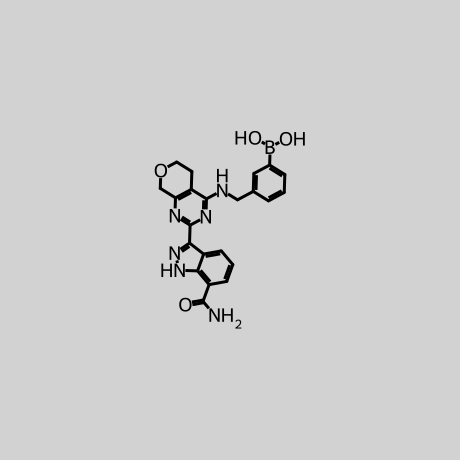 NC(=O)c1cccc2c(-c3nc4c(c(NCc5cccc(B(O)O)c5)n3)CCOC4)n[nH]c12